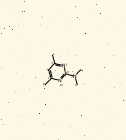 Cc1cc(C)nc(N(C)C)n1